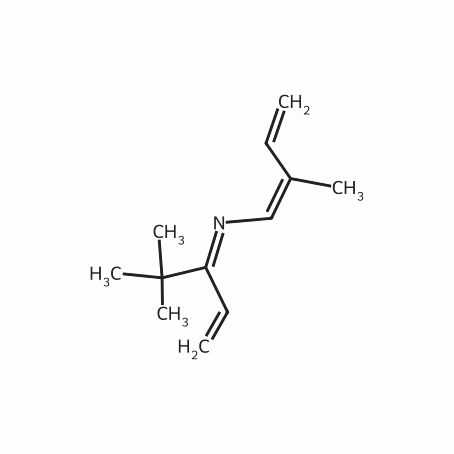 C=C/C(C)=C\N=C(/C=C)C(C)(C)C